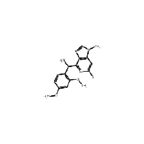 COc1ccc(C(N)c2nc(Cl)cc3c2ncn3C)c(OC)c1